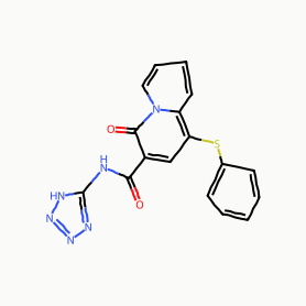 O=C(Nc1nnn[nH]1)c1cc(Sc2ccccc2)c2ccccn2c1=O